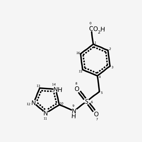 O=C(O)c1ccc(CS(=O)(=O)Nc2nnc[nH]2)cc1